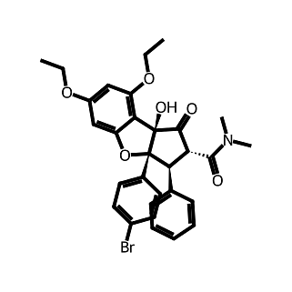 CCOc1cc(OCC)c2c(c1)O[C@@]1(c3ccc(Br)cc3)[C@H](c3ccccc3)[C@@H](C(=O)N(C)C)C(=O)[C@@]21O